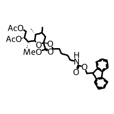 COC(=O)[C@@]1(OCCCCCNC(=O)OCC2c3ccccc3-c3ccccc32)CC(C)[C@@H](C)C([C@H](C)[C@@H](COC(C)=O)OC(C)=O)O1